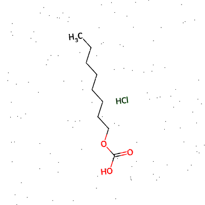 CCCCCCCCOC(=O)O.Cl